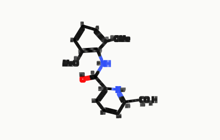 COc1cccc(OC)c1NC(=O)c1cccc(C(=O)O)n1